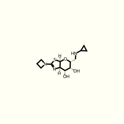 O[C@@H]1[C@H](O)[C@H]2N=C(N3CCC3)S[C@H]2O[C@@H]1CNC1CC1